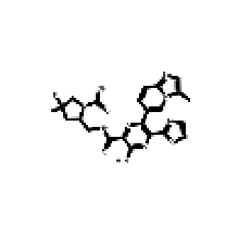 Cc1cnc2ccc(-c3nc(C(=O)NCC4CC(F)(F)CN4C(=O)O)c(N)nc3-c3ncco3)cn12